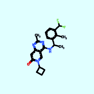 Cc1nc(NC(C)c2cccc(C(F)F)c2C)c2cn(C3CCC3)c(=O)cc2n1